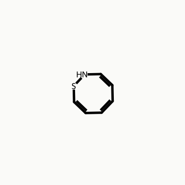 c1cccs[nH]cc1